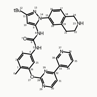 Cc1ccc(NC(=O)Nc2cc(C(C)(C)C)nn2-c2ccc3c(c2)CCNC3)cc1Oc1nccc(-c2cccnc2)n1